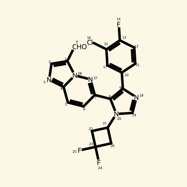 O=Cc1cnc2ccc(-c3c(-c4ccc(F)c(Cl)c4)ncn3C3CC(F)(F)C3)nn12